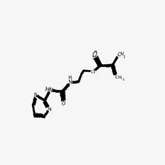 C=C(C)C(=O)OCCNC(=O)Nc1ncccn1